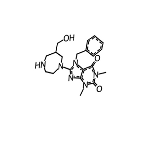 Cn1c(=O)c2c(nc(N3CCNCC(CO)C3)n2Cc2ccccc2)n(C)c1=O